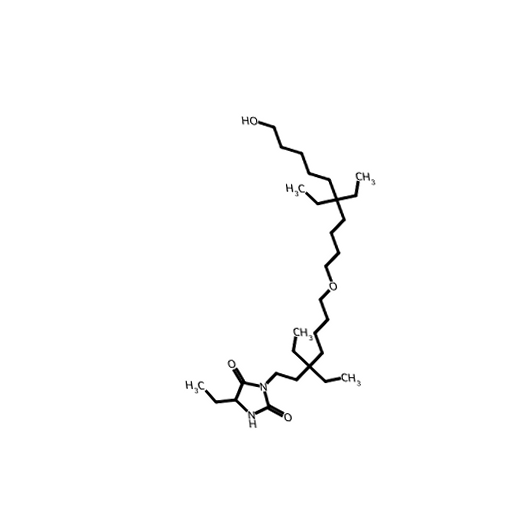 CCC1NC(=O)N(CCC(CC)(CC)CCCCOCCCCC(CC)(CC)CCCCCO)C1=O